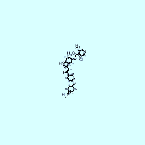 Cc1cncc(Cl)c1[C@@H](C)Oc1ccc2[nH]nc(/C=C(\F)c3ccc(OC4CCN(C)CC4)nc3)c2c1